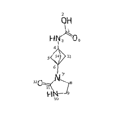 O=C(O)NC12CC(N3CCNC3=O)(C1)C2